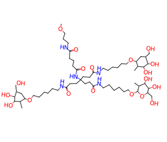 COCCCNC(=O)CCCC(=O)NC(CCC(=O)NCCCCCCOC1CC(CO)C(O)C(O)C1C)(CCC(=O)NCCCCCCOC1CC(CO)C(O)C(O)C1C)CCC(=O)NCCCCCCOC1OC(CO)C(O)C(O)C1C